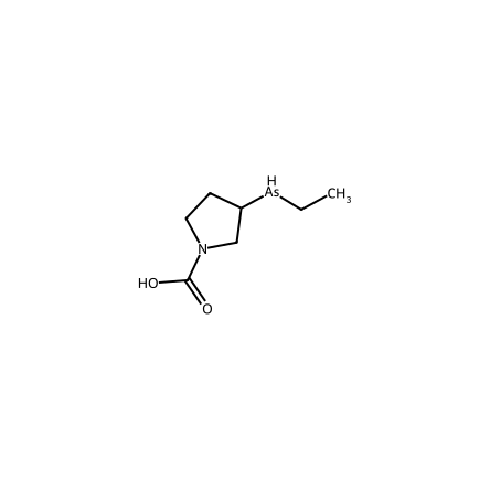 CC[AsH]C1CCN(C(=O)O)C1